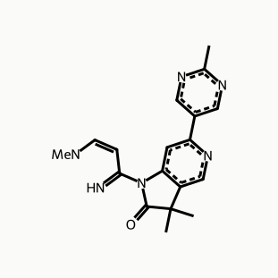 CN/C=C\C(=N)N1C(=O)C(C)(C)c2cnc(-c3cnc(C)nc3)cc21